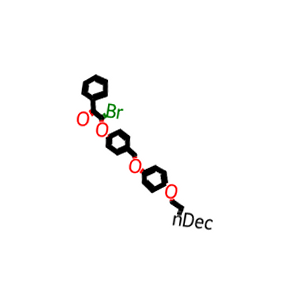 CCCCCCCCCCCCOc1ccc(OCc2ccc(OC(Br)C(=O)c3ccccc3)cc2)cc1